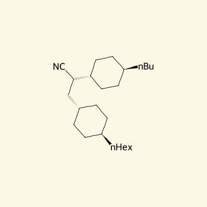 CCCCCC[C@H]1CC[C@H](CC(C#N)[C@H]2CC[C@H](CCCC)CC2)CC1